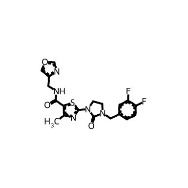 Cc1nc(N2CCN(Cc3ccc(F)c(F)c3)C2=O)sc1C(=O)NCc1cocn1